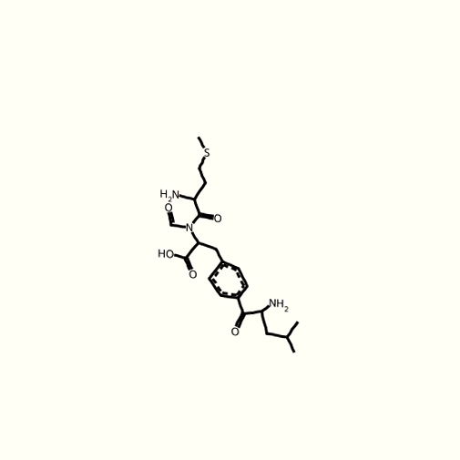 CSCCC(N)C(=O)N(C=O)C(Cc1ccc(C(=O)C(N)CC(C)C)cc1)C(=O)O